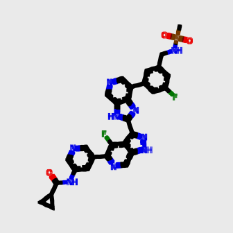 CS(=O)(=O)NCc1cc(F)cc(-c2cncc3[nH]c(-c4n[nH]c5cnc(-c6cncc(NC(=O)C7CC7)c6)c(F)c45)nc23)c1